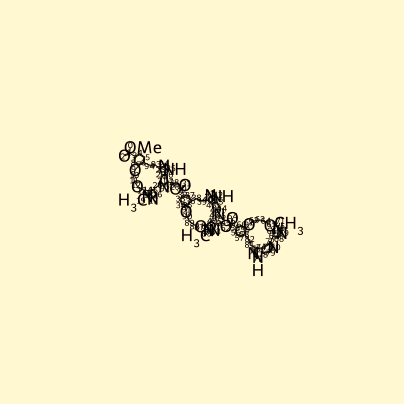 COC(=O)c1ccc2c(c1)OCCOCc1c(cnn1C)-c1cc3c(n[nH]c3c(COC(=O)c3ccc4c(c3)/C=C/c3n[nH]c5cnc(cc35)-c3c(COC(=O)c5ccc6c(c5)OCCCOc5c(cnn5C)-c5cc7c(n[nH]c7cn5)/C=C/6)nn(C)c3OCCCO4)n1)/C=C/2